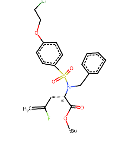 C=C(F)C[C@@H](C(=O)OC(C)(C)C)N(Cc1ccccc1)S(=O)(=O)c1ccc(OCCCl)cc1